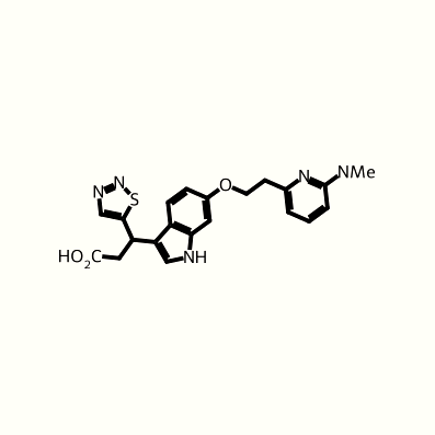 CNc1cccc(CCOc2ccc3c(C(CC(=O)O)c4cnns4)c[nH]c3c2)n1